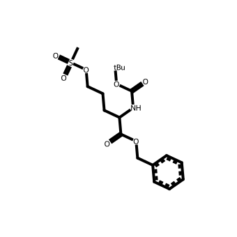 CC(C)(C)OC(=O)NC(CCCOS(C)(=O)=O)C(=O)OCc1ccccc1